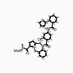 CNN(C)C(=O)c1ccc2n1Cc1ccccc1N(C(=O)c1ccc(NC(=O)c3ccccc3-c3cccs3)cc1Cl)C2